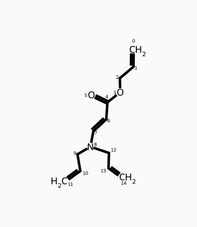 C=CCOC(=O)C=CN(CC=C)CC=C